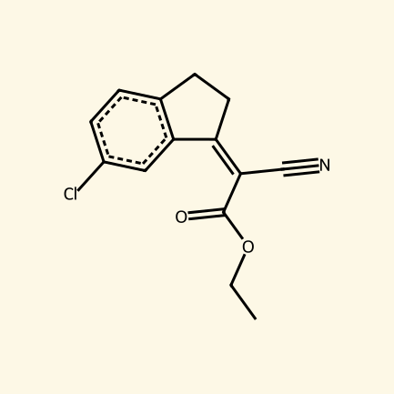 CCOC(=O)C(C#N)=C1CCc2ccc(Cl)cc21